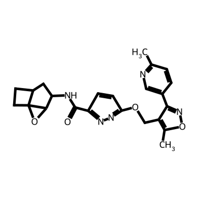 Cc1ccc(-c2noc(C)c2COc2ccc(C(=O)NC3CC4CCC45OC35)nn2)cn1